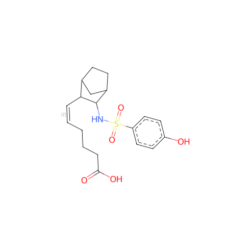 O=C(O)CCC/C=C\C1C2CCC(C2)C1NS(=O)(=O)c1ccc(O)cc1